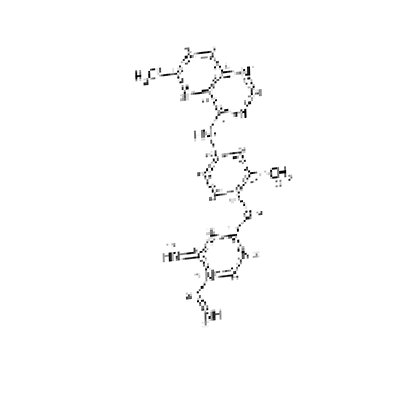 Cc1ccc2ncnc(Nc3ccc(Oc4cc(=N)n(C=N)cn4)c(C)c3)c2c1